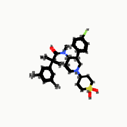 CN(C(=O)C(C)(C)c1cc(C(F)(F)F)cc(C(F)(F)F)c1)[C@H]1CCN(C2CCS(=O)(=O)CC2)C[C@@H]1c1ccc(F)cc1